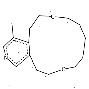 Cc1cncc2c1CCCCCCCCCCC2